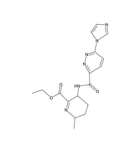 CCOC(=O)C1=NC(C)CCC1NC(=O)c1ccc(-n2ccnc2)nn1